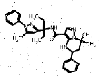 CCC(CC)(NC(=O)c1cnn2c1NC(c1ccccc1)CC2(C)C)c1cc(C)n(-c2ccccc2)n1